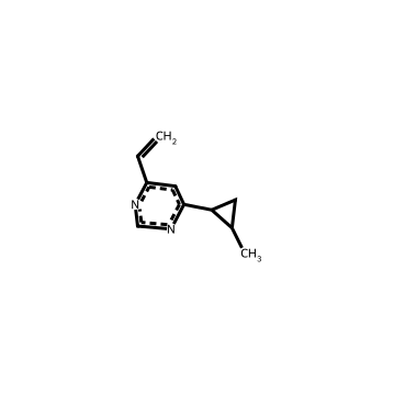 C=Cc1cc(C2CC2C)ncn1